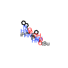 CC(C)[C@H](NC(=O)c1ccc2ccccc2n1)C(=O)N[C@@](Cc1ccccc1)(C(C)C)[C@H](O)CNNC(=O)OC(C)(C)C